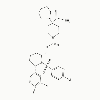 NC(=O)C1(N2CCCCC2)CCN(C(=O)OC[C@H]2CCC[C@@H](c3ccc(F)c(F)c3)N2S(=O)(=O)c2ccc(Cl)cc2)CC1